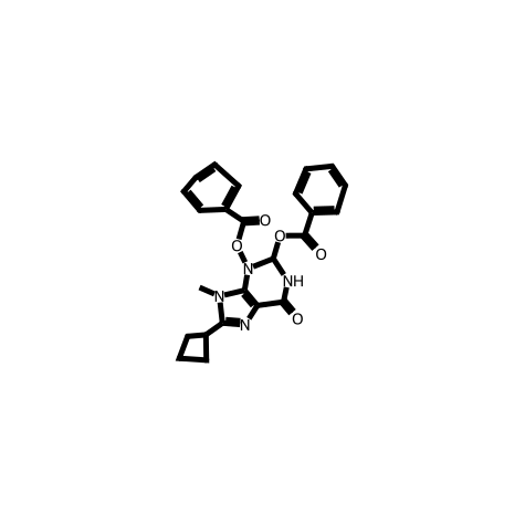 Cn1c(C2CCC2)nc2c1N(OC(=O)c1ccccc1)C(OC(=O)c1ccccc1)NC2=O